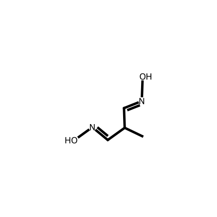 CC(/C=N/O)/C=N/O